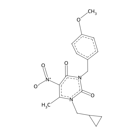 COc1ccc(Cn2c(=O)c([N+](=O)[O-])c(C)n(CC3CC3)c2=O)cc1